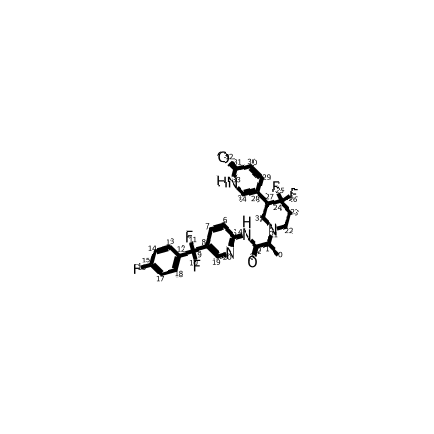 CC(C(=O)Nc1ccc(C(F)(F)c2ccc(F)cc2)cn1)N1CCC(F)(F)C(c2ccc(=O)[nH]c2)C1